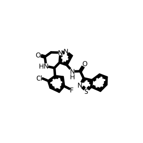 O=C1Cn2ncc(NC(=O)c3nsc4ccccc34)c2C(c2cc(F)ccc2Cl)N1